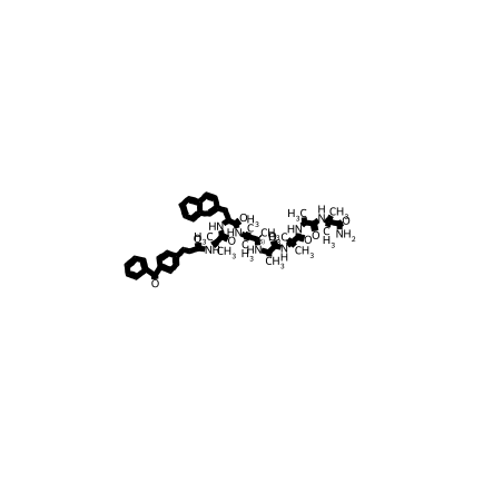 CC(NC(=O)C(C)(C)NC(=O)C(C)N[C@@H](C)C(C)(C)NC(=O)C(Cc1ccc2ccccc2c1)NC(=O)C(C)(C)NC(=O)CCc1ccc(C(=O)c2ccccc2)cc1)C(=O)NC(C)(C)C(N)=O